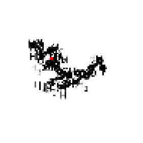 CC(=O)Nc1ccc(O)cc1.CCN(CC)CC#CCOC(=O)C(O)(c1ccccc1)C1CCCCC1.CNCCC=C1c2ccccc2CCc2ccccc21.COc1ccc2c3c1O[C@H]1C(=O)CC[C@@]4(O)[C@@H](C2)N(C)CC[C@]314.Cl.Cl.Cl.Cl.Fc1ccc([C@@H]2CCNC[C@H]2COc2ccc3c(c2)OCO3)cc1.O=C1CN(/N=C/c2ccc([N+](=O)[O-])o2)C(=O)N1